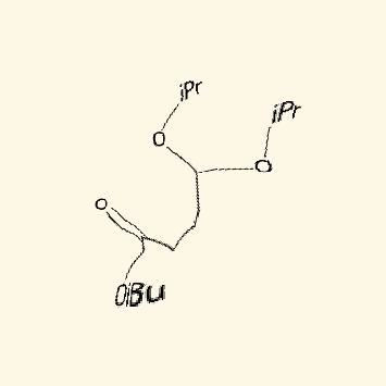 CC(C)COC(=O)CC(OC(C)C)OC(C)C